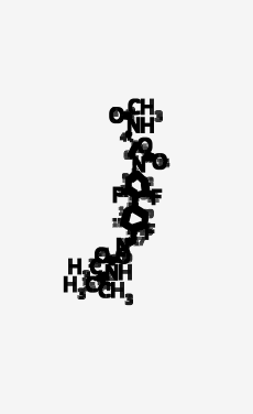 CC(=O)NC[C@H]1CN(c2cc(F)c(-c3ccc(C=NOC(=O)NC(C)(C)C)c(F)c3)c(F)c2)C(=O)O1